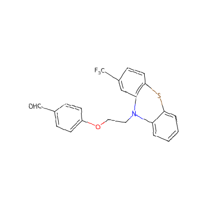 O=Cc1ccc(OCCN2c3ccccc3Sc3ccc(C(F)(F)F)cc32)cc1